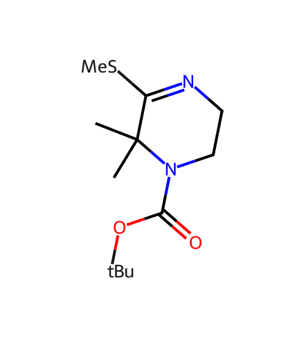 CSC1=NCCN(C(=O)OC(C)(C)C)C1(C)C